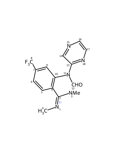 C/N=C(/NC)c1ccc(C(F)(F)F)cc1N(C=O)c1cnccn1